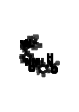 CC(=O)NC1CCC[C@@H](C(=O)Nc2cc(-c3cnn4c3CC(C)(C)C4)ccn2)C1